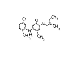 CCN(C)C=Nc1cc(C)c(Nc2cc(Cl)ccc2C)cc1Cl